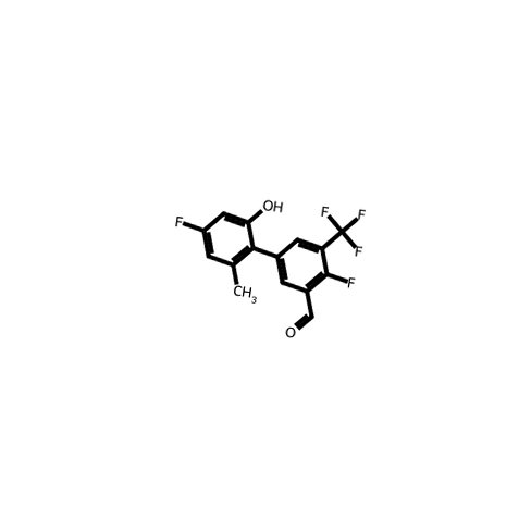 Cc1cc(F)cc(O)c1-c1cc(C=O)c(F)c(C(F)(F)F)c1